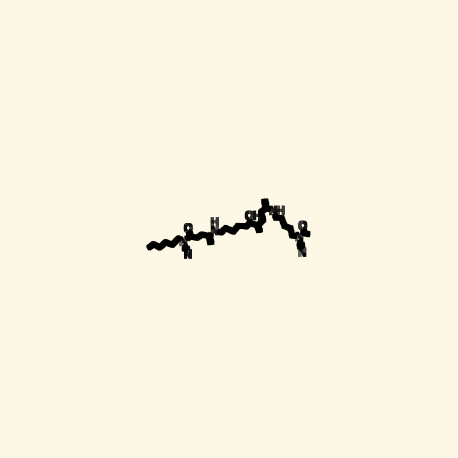 C=C(CCC(=C)C(O)CCCCCNC(=C)CCC(=O)N(C#N)CCCCCC)NCCCCCN(C#N)C(C)=O